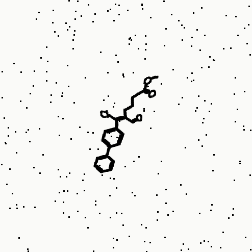 COC(=O)CCCC(C=O)=C(Cl)c1ccc(-c2ccccc2)cc1